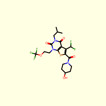 CC(C)Cn1c(=O)c2c(C(F)F)c(C(=O)N3CCC(O)CC3)sc2n(CCOC(F)(F)F)c1=O